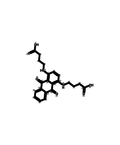 O=C(O)CCCNc1ccc(NCCCC(=O)O)c2c1C(=O)c1ccccc1C2=O